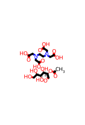 CC(=O)O[C@@H](C=O)[C@@H](O)[C@H](O)[C@H](O)CO.O=C(O)CN(CCN(CC(=O)O)CC(=O)O)CC(=O)O